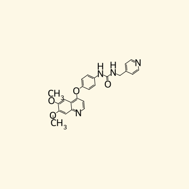 COc1cc2nccc(Oc3ccc(NC(=O)NCc4ccncc4)cc3)c2cc1OC